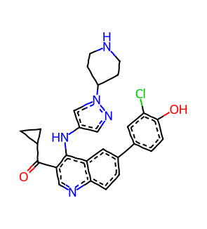 O=C(c1cnc2ccc(-c3ccc(O)c(Cl)c3)cc2c1Nc1cnn(C2CCNCC2)c1)C1CC1